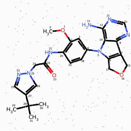 COc1cc(-n2c3c(c4ncnc(N)c42)COC3)ccc1NC(=O)Cn1cc(C(C)(C)C)cn1